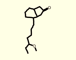 CCC(CCCCC1CCCC2CC(=O)CC12)OC